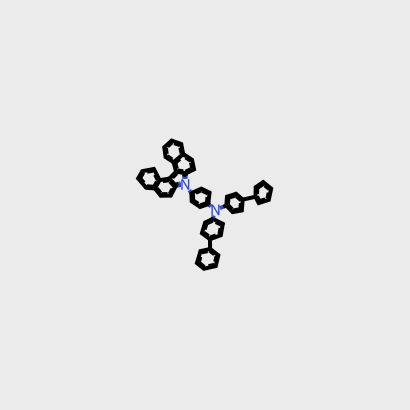 c1ccc(-c2ccc(N(c3ccc(-c4ccccc4)cc3)c3ccc(-n4c5ccc6ccccc6c5c5c6ccccc6ccc54)cc3)cc2)cc1